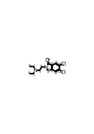 CCN(CC)CCn1sc2cc(Cl)c(Cl)cc2c1=O